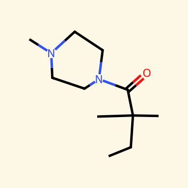 CCC(C)(C)C(=O)N1CCN(C)CC1